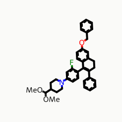 COC(OC)C1CCN(c2ccc(C3=C(c4ccccc4)CCc4cc(OCc5ccccc5)ccc43)c(F)c2)CC1